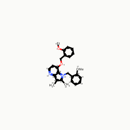 CCOc1ccccc1COc1ccnc2c(C)c(C)n(Cc3ccccc3OC)c12